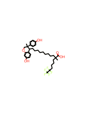 CC(CCCCCCCCCC1c2ccc(O)cc2OCC1(C)c1ccc(O)cc1)(CCCCC(F)(F)C(F)(F)F)C(=O)O